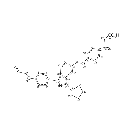 C=CCOc1ccc(-c2nn(C3CCCC3)c3cc(COc4ccc(C(C)CC(=O)O)cc4)ccc23)cc1